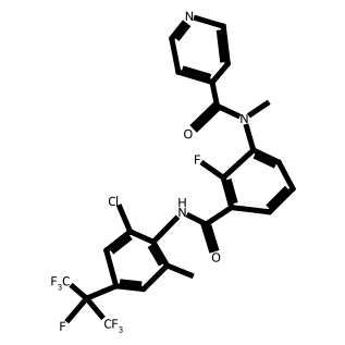 Cc1cc(C(F)(C(F)(F)F)C(F)(F)F)cc(Cl)c1NC(=O)c1cccc(N(C)C(=O)c2ccncc2)c1F